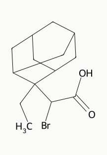 CCC1(C(Br)C(=O)O)C2CC3CC(C2)CC1C3